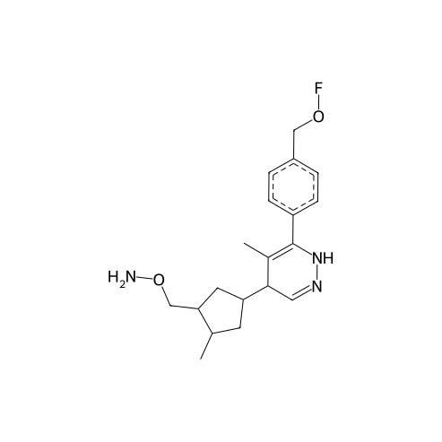 CC1=C(c2ccc(COF)cc2)NN=CC1C1CC(C)C(CON)C1